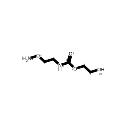 NOCCNC(=O)OCCO